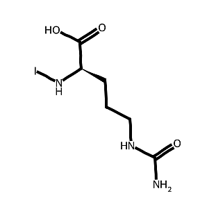 NC(=O)NCCC[C@@H](NI)C(=O)O